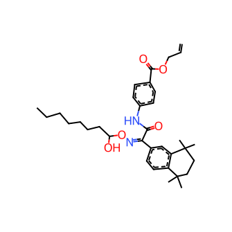 C=CCOC(=O)c1ccc(NC(=O)/C(=N\OC(O)CCCCCCC)c2ccc3c(c2)C(C)(C)CCC3(C)C)cc1